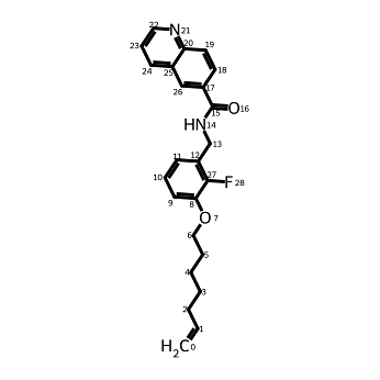 C=CCCCCCOc1cccc(CNC(=O)c2ccc3ncccc3c2)c1F